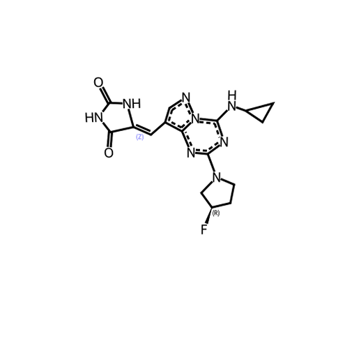 O=C1NC(=O)/C(=C/c2cnn3c(NC4CC4)nc(N4CC[C@@H](F)C4)nc23)N1